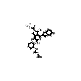 CC(C)(C)OC(=O)N[C@H]1CCCC[C@H]1Nc1nc(-c2cc3cc(F)ccc3s2)c2c(c1F)CN(C(=O)OC(C)(C)C)C2=O